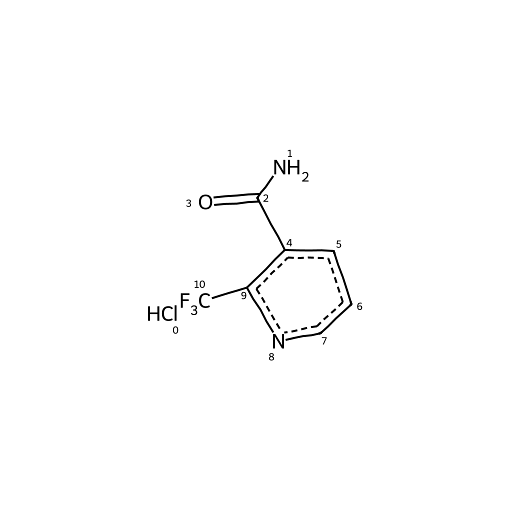 Cl.NC(=O)c1cccnc1C(F)(F)F